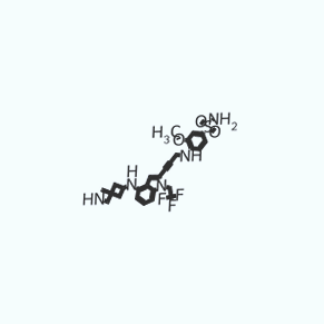 COc1cc(S(N)(=O)=O)ccc1NCC#Cc1cc2c(NC3CC4(CNC4)C3)cccc2n1CC(F)(F)F